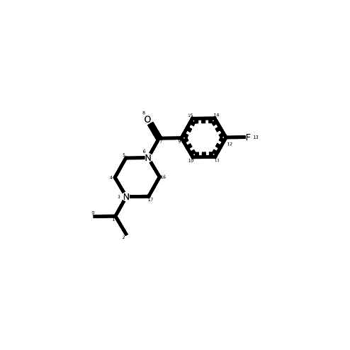 CC(C)N1CCN(C(=O)c2ccc(F)cc2)CC1